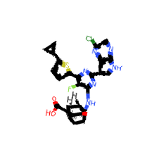 O=C(O)[C@@H]1C2CCC(CC2)[C@H]1Nc1nc(-c2c[nH]c3ncc(Cl)nc23)nc(-c2ccc(C3CC3)s2)c1F